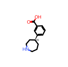 O=C(O)c1cccc([C@H]2CCCNCC2)c1